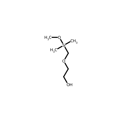 CO[Si](C)(C)COCCO